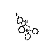 Fc1ccc2sc(C[PH](c3ccccc3)(c3ccccc3)c3ccccc3)nc2c1